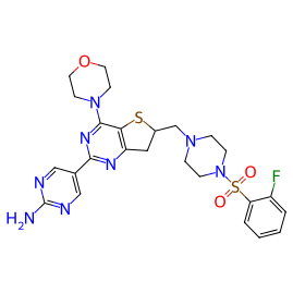 Nc1ncc(-c2nc3c(c(N4CCOCC4)n2)SC(CN2CCN(S(=O)(=O)c4ccccc4F)CC2)C3)cn1